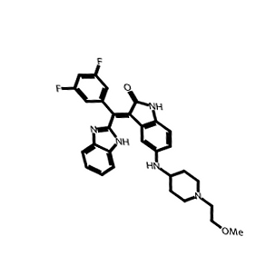 COCCN1CCC(Nc2ccc3c(c2)C(=C(c2cc(F)cc(F)c2)c2nc4ccccc4[nH]2)C(=O)N3)CC1